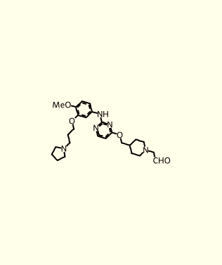 COc1ccc(Nc2nccc(OCC3CCN(CC=O)CC3)n2)cc1OCCCN1CCCC1